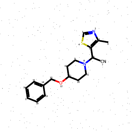 Cc1ncsc1C(C#N)N1CCC(OCc2ccccc2)CC1